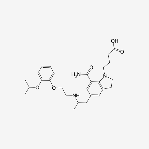 CC(Cc1cc2c(c(C(N)=O)c1)N(CCCC(=O)O)CC2)NCCOc1ccccc1OC(C)C